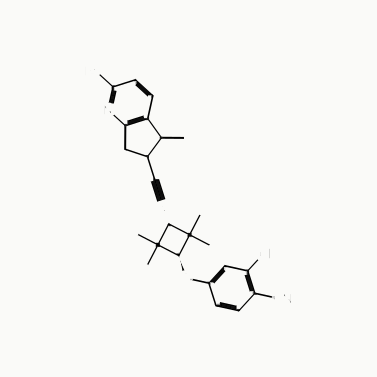 CC1c2ccc(Br)nc2CC1C#C[C@H]1C(C)(C)[C@H](Oc2ccc(C#N)c(Cl)c2)C1(C)C